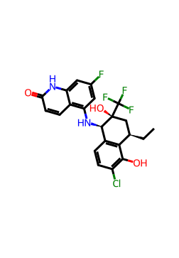 CC[C@@H]1C[C@@](O)(C(F)(F)F)[C@H](Nc2cc(F)cc3[nH]c(=O)ccc23)c2ccc(Cl)c(O)c21